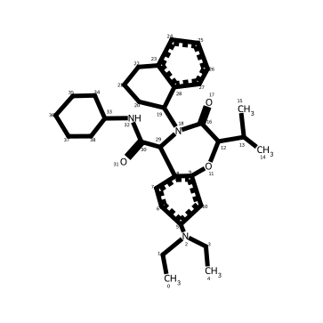 CCN(CC)c1ccc2c(c1)OC(C(C)C)C(=O)N(C1CCCc3ccccc31)C2C(=O)NC1CCCCC1